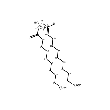 C=C(CCCCCCCCCCCCCCCCCC)C(=O)O.CCCCCCCCCCCCCCCCCCC=C(C)C(=O)O